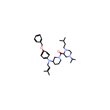 CC(C)=CCN(c1ccc(OCc2ccccc2)cc1)C1CCCN(C(=O)C2CN(C(C)C)CCN2CCC(C)C)C1